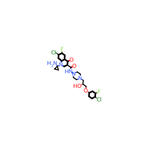 NC1(n2cc(C(=O)NN3CCN(C[C@H](O)COc4ccc(Cl)c(F)c4)CC3)c(=O)c3cc(F)c(Cl)cc32)CC1